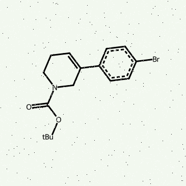 CC(C)(C)OC(=O)N1CCC=C(c2ccc(Br)cc2)C1